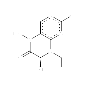 CCN1c2nc(Cl)ncc2N(C)C(=O)[C@@H]1C